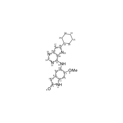 COc1cc2[nH]c(=O)sc2cc1Nc1ncnc2sc(C3CCCCC3)nc12